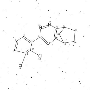 Clc1cccc(-c2cc3c(nn2)C2CCC3C2)c1Cl